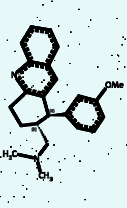 COc1cccc([C@@H]2c3cc4ccccc4nc3CC[C@H]2CN(C)C)c1